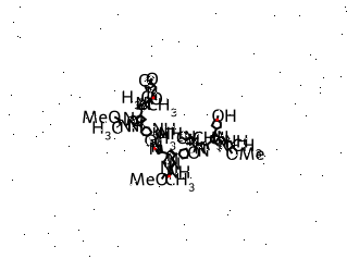 COC[C@H](C)Nc1ncc2c(-c3cnn(C(O[C@H]4CC[C@H](c5cc(-c6cnn(C(O[C@H]7CC[C@H](c8cc(-c9cnn(C(C)(C)C(=O)N%10CCS(=O)(=O)CC%10)c9)c9cnc(N[C@@H](C)COC)nn98)CC7)/C(C=N)=C/N)c6)c6cnc(N[C@@H](C)COC)nn65)CC4)c4cc(C)nn4C)c3)cc(C3CCC(O)CC3)n2n1